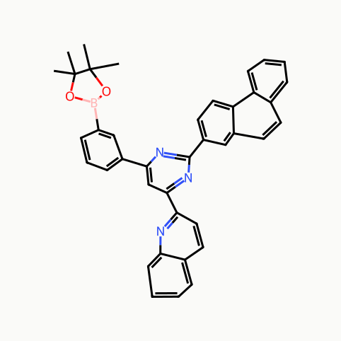 CC1(C)OB(c2cccc(-c3cc(-c4ccc5ccccc5n4)nc(-c4ccc5c(ccc6ccccc65)c4)n3)c2)OC1(C)C